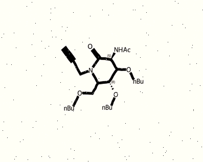 C#CCN1C(=O)[C@@H](NC(C)=O)C(OCCCC)[C@H](OCCCC)C1COCCCC